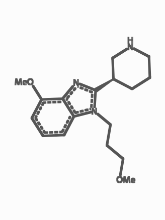 COCCCn1c([C@@H]2CCCNC2)nc2c(OC)cccc21